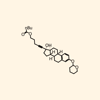 CCCCC(=O)OCCCC#C[C@]1(O)CC[C@H]2[C@@H]3CCc4cc(OC5CCCCO5)ccc4[C@H]3CC[C@@]21C